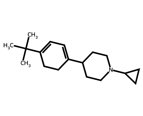 CC(C)(C)C1=CC=C(C2CCN(C3CC3)CC2)CC1